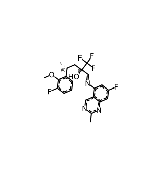 COc1c(F)cccc1[C@H](C)C[C@@](O)(C=Nc1cc(F)cc2nc(C)ncc12)C(F)(F)F